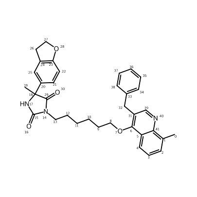 Cc1cccc2c(OCCCCCCN3C(=O)NC(C)(c4ccc5c(c4)CCO5)C3=O)c(Cc3ccccc3)cnc12